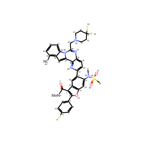 CNC(=O)c1c(-c2ccc(F)cc2)oc2cc(N(C)S(C)(=O)=O)c(-c3ccc4nc(CN5CCC(F)(F)CC5)n5c6cccc(C#N)c6cc5c4n3)cc12